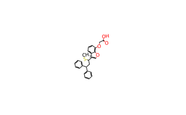 CSC(CC(c1ccccc1)c1ccccc1)c1coc2c(OCC(=O)O)cccc12